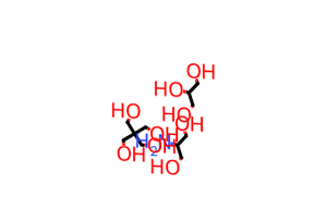 NC(CO)CO.OCC(CO)(CO)CO.OCC(O)CO